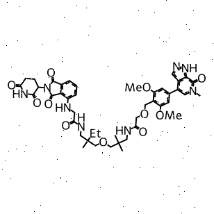 CCC(C)(CNC(=O)CNc1cccc2c1C(=O)N(C1CCC(=O)NC1=O)C2=O)COCC(C)(C)CNC(=O)COCc1c(OC)cc(-c2cn(C)c(=O)c3[nH]ncc23)cc1OC